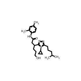 Cc1ccc(NC(=O)CC(CCCO)c2nnc(CCCC(C)C)n2C2CC2)c(C)c1